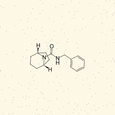 O=C(NCc1ccccc1)N1[C@@H]2CCC[C@H]1CC2